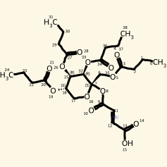 CCCC(=O)OC[C@@]1(OC(=O)/C=C/C(=O)O)OC[C@H](OC(=O)CCC)[C@@H](OC(=O)CCC)[C@H]1OC(=O)CCC